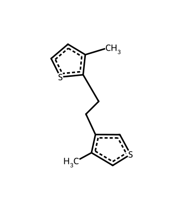 Cc1cscc1CCc1sccc1C